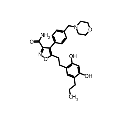 CCCc1cc(CCc2onc(C(N)=O)c2-c2ccc(CN3CCOCC3)cc2)c(O)cc1O